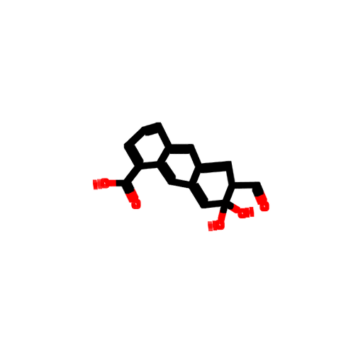 O=CC1C=c2cc3cccc(C(=O)O)c3cc2=CC1(O)O